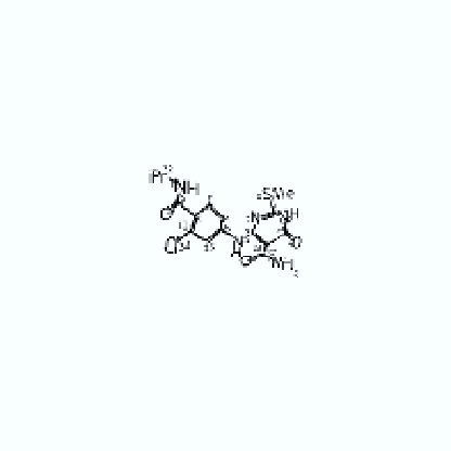 CSc1nc(Nc2ccc(C(=O)NC(C)C)c(Cl)c2)c(C(N)=O)c(=O)[nH]1